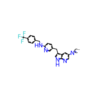 [C-]#[N+]c1cnc2[nH]cc(Cc3ccc(NCc4ccc(C(F)(F)F)cc4)nc3)c2c1